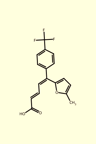 Cc1ccc(C(=CC=CC(=O)O)c2ccc(C(F)(F)F)cc2)o1